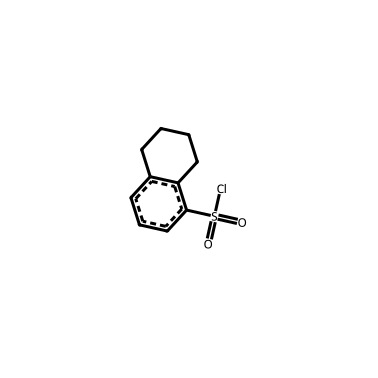 O=S(=O)(Cl)c1cccc2c1CCCC2